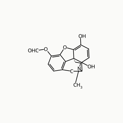 CN1CC[C@]23C4=C(O)C=CC2(O)C1Cc1ccc(OC=O)c(c13)O4